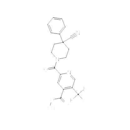 COC(=O)c1cc(C(=O)N2CCC(C#N)(c3ccccc3)CC2)ncc1C(F)(F)F